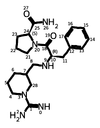 N=C(N)N1CCCC(CN[C@H](Cc2ccccc2)C(=O)N2CCC[C@H]2C(N)=O)C1